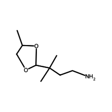 CC1COC(C(C)(C)CCN)O1